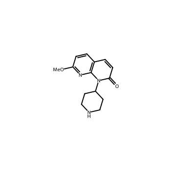 COc1ccc2ccc(=O)n(C3CCNCC3)c2n1